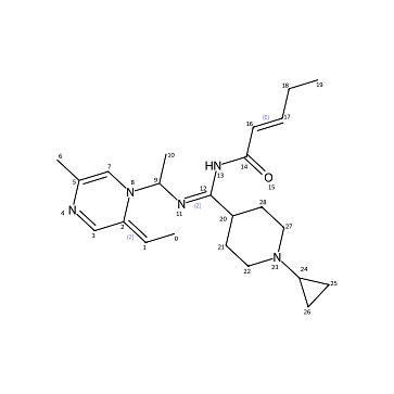 C/C=C1/C=NC(C)=CN1C(C)/N=C(\NC(=O)/C=C/CC)C1CCN(C2CC2)CC1